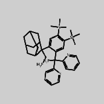 C[Si](C)(C)c1cc(C(P)(c2ccccn2)c2ccccn2)c(C2(CP)C3CC4CC(C3)CC2C4)cc1[Si](C)(C)C